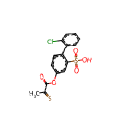 CC(=S)C(=O)Oc1ccc(-c2ccccc2Cl)c(S(=O)(=O)O)c1